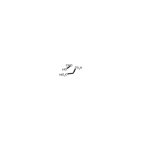 O=C(O)CC(=O)O.O=CO